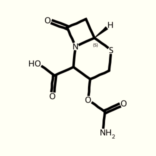 NC(=O)OC1CS[C@H]2CC(=O)N2C1C(=O)O